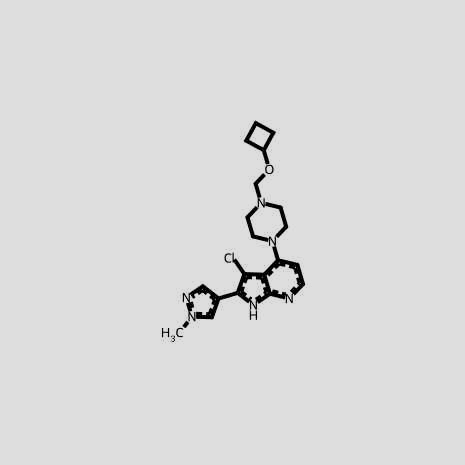 Cn1cc(-c2[nH]c3nccc(N4CCN(COC5CCC5)CC4)c3c2Cl)cn1